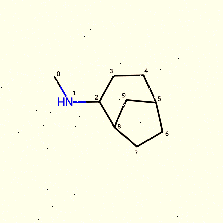 CNC1CCC2CCC1C2